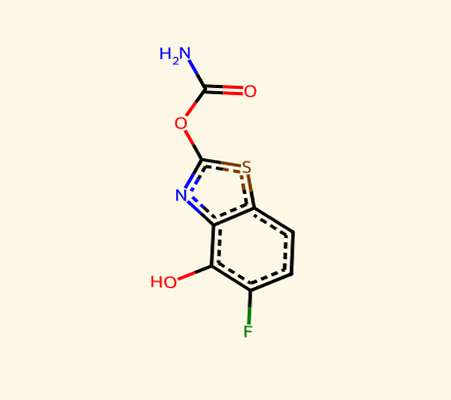 NC(=O)Oc1nc2c(O)c(F)ccc2s1